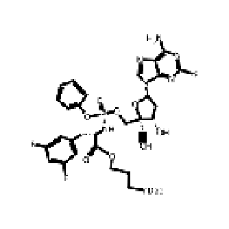 C#C[C@]1(CO[P@@](=O)(N[C@@H](Cc2cc(F)cc(F)c2)C(=O)OCCCCCCCCCCCCC)Oc2ccccc2)O[C@@H](n2cnc3c(N)nc(F)nc32)C[C@@H]1O